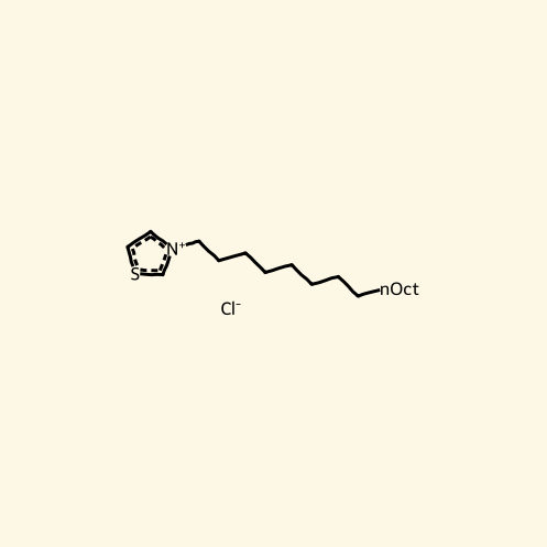 CCCCCCCCCCCCCCCC[n+]1ccsc1.[Cl-]